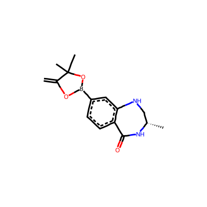 C=C1OB(c2ccc3c(c2)NC[C@H](C)NC3=O)OC1(C)C